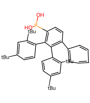 CC(C)(C)c1ccc(-c2c(-c3ccccc3)ccc(P(O)O)c2-c2ccc(C(C)(C)C)cc2C(C)(C)C)c(C(C)(C)C)c1